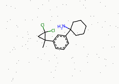 CC1(c2cccc(C3(N)CCCCC3)c2)CC1(Cl)Cl